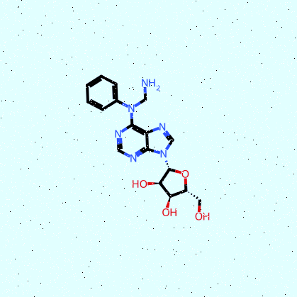 NCN(c1ccccc1)c1ncnc2c1ncn2[C@@H]1O[C@H](CO)[C@@H](O)[C@H]1O